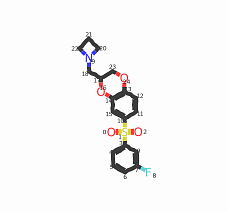 O=S(=O)(c1cccc(F)c1)c1ccc2c(c1)OC(CN1CCC1)CO2